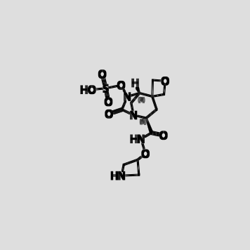 O=C(NOC1CNC1)[C@@H]1CC2(COC2)[C@@H]2CN1C(=O)N2OS(=O)(=O)O